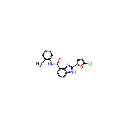 Cc1ccccc1NC(=O)c1cccc2[nH]c(-c3ccc(Cl)o3)nc12